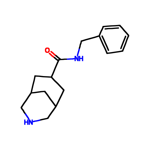 O=C(NCc1ccccc1)C1CC2CNCC(C2)C1